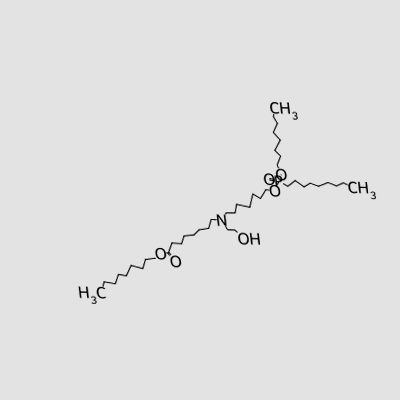 CCCCCCCCCOC(=O)CCCCCCCN(CCO)CCCCCCCOP(=O)(CCCCCCCCC)OCCCCCCCC